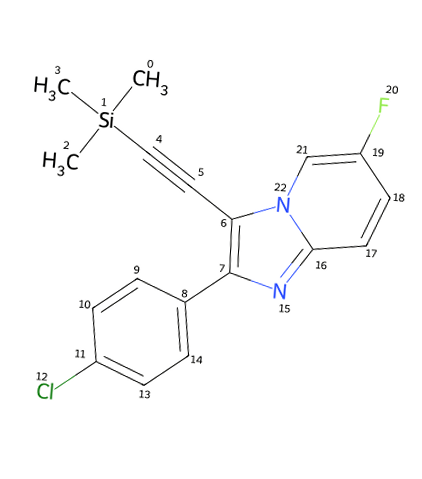 C[Si](C)(C)C#Cc1c(-c2ccc(Cl)cc2)nc2ccc(F)cn12